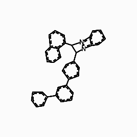 c1ccc(-c2cccc(-c3ccc(C4C(c5cccc6ccccc56)n5c6ccccc6n54)cc3)c2)cc1